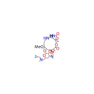 CO[C@]1(C)CCCN[C@H](C)[C@H]2NC(=O)O[C@]2(C)[C@@H](C)OC(=O)C(C)C(=O)[C@H](C)[C@H]1OC1OC(CN(C)CC2CC2)CC(N(C)C)C1O